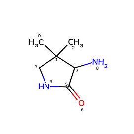 CC1(C)CNC(=O)C1N